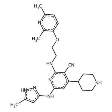 Cc1ccc(OCCNc2nc(Nc3cc(C)[nH]n3)cc(C3CCNCC3)c2C#N)c(C)n1